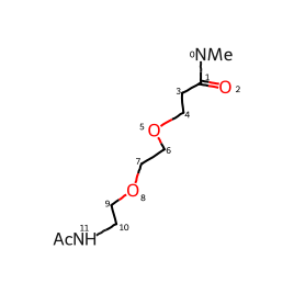 CNC(=O)CCOCCOCCNC(C)=O